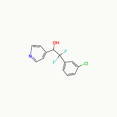 OC(c1ccncc1)C(F)(F)c1cccc(Cl)c1